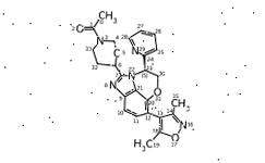 CC(=O)N1CCC(c2nc3ccc(-c4c(C)noc4C)c4c3n2[C@@H](c2ccccn2)CO4)CC1